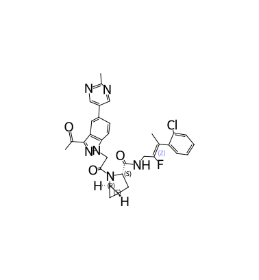 CC(=O)c1nn(CC(=O)N2[C@@H]3C[C@H]3C[C@H]2C(=O)NC/C(F)=C(\C)c2ccccc2Cl)c2ccc(-c3cnc(C)nc3)cc12